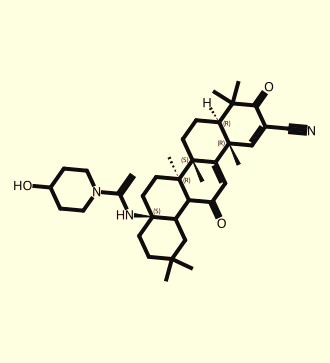 C=C(N[C@]12CCC(C)(C)CC1C1C(=O)C=C3[C@@]4(C)C=C(C#N)C(=O)C(C)(C)[C@@H]4CC[C@@]3(C)[C@]1(C)CC2)N1CCC(O)CC1